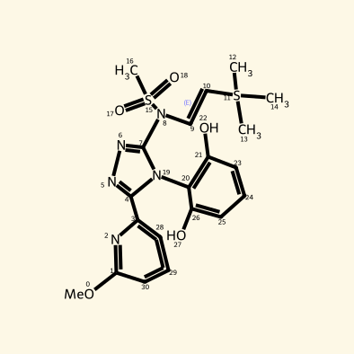 COC1=NC(c2nnc(N(/C=C/S(C)(C)C)S(C)(=O)=O)n2-c2c(O)cccc2O)=C=C=C1